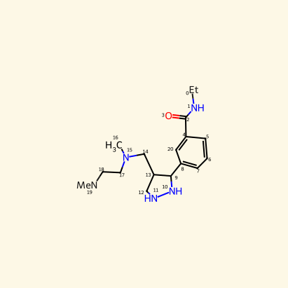 CCNC(=O)c1cccc(C2NNCC2CN(C)CCNC)c1